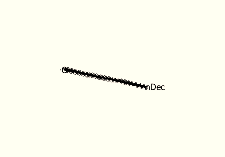 CCCCCCCCCCCCCCCCCCCCCCCCCCCCCCCCCCCCCCCCCCCCCCCCCC[O]